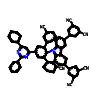 N#Cc1cc(C#N)cc(-c2ccc3c(c2)c2cc(-c4cc(C#N)cc(C#N)c4)ccc2n3-c2c(-c3cccc(C#N)c3)cc(-c3cc(-c4ccccc4)nc(-c4ccccc4)n3)cc2-c2cccc(C#N)c2)c1